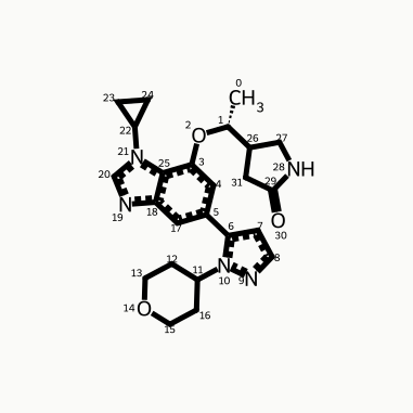 C[C@@H](Oc1cc(-c2ccnn2C2CCOCC2)cc2ncn(C3CC3)c12)C1CNC(=O)C1